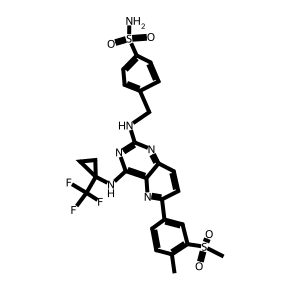 Cc1ccc(-c2ccc3nc(NCc4ccc(S(N)(=O)=O)cc4)nc(NC4(C(F)(F)F)CC4)c3n2)cc1S(C)(=O)=O